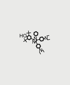 CCN(CC)c1ccc(-c2nc(-c3cc(C(C)(C)C)c(O)c(C(C)(C)C)c3)n(-c3ccccc3)c2-c2ccc(N(CC)CC)cc2)cc1